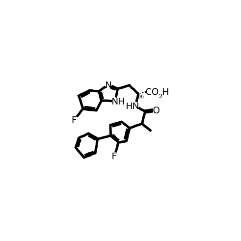 CC(C(=O)N[C@H](Cc1nc2ccc(F)cc2[nH]1)C(=O)O)c1ccc(-c2ccccc2)c(F)c1